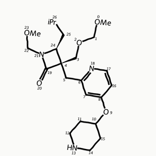 COCOC[C@@]1(Cc2cc(OC3CCNCC3)ccn2)C(=O)N(COC)[C@H]1CC(C)C